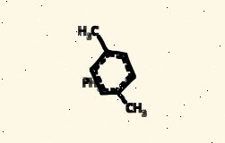 Cc1ccc(C)cc1.P